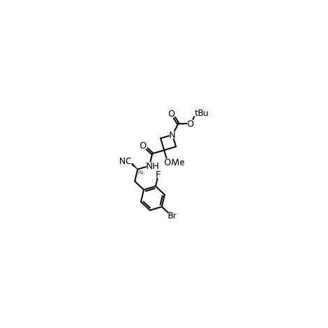 COC1(C(=O)N[C@H](C#N)Cc2ccc(Br)cc2F)CN(C(=O)OC(C)(C)C)C1